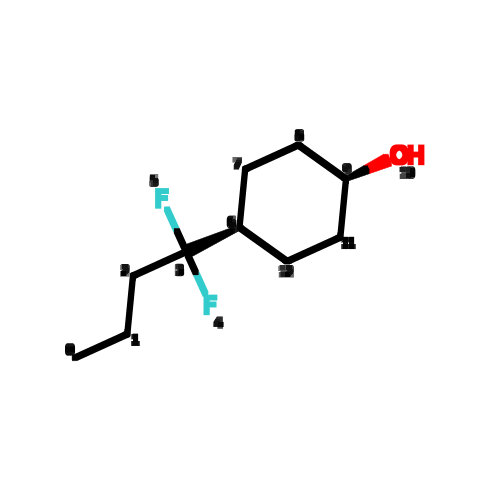 CCCC(F)(F)[C@H]1CC[C@@H](O)CC1